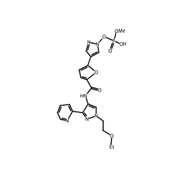 CCOCCn1cc(NC(=O)c2ccc(-c3cnn(OP(=O)(O)OC)c3)o2)c(-c2ccccn2)n1